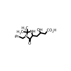 CC(C)CN1C(=O)C(CC(O)CC(=O)O)NC1(C)C